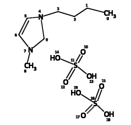 CCCCN1C=CN(C)C1.O=S(=O)(O)O.O=S(=O)(O)O